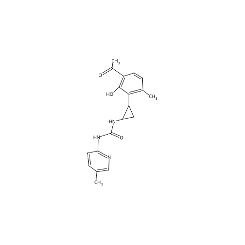 CC(=O)c1ccc(C)c(C2CC2NC(=O)Nc2ccc(C)cn2)c1O